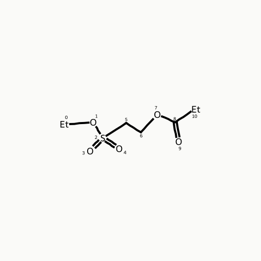 CCOS(=O)(=O)CCOC(=O)CC